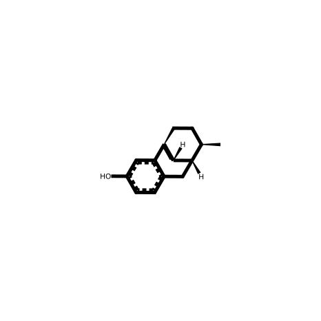 C[C@@H]1CC[C@]23CCCC[C@H]2[C@H]1Cc1ccc(O)cc13